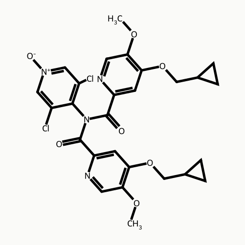 COc1cnc(C(=O)N(C(=O)c2cc(OCC3CC3)c(OC)cn2)c2c(Cl)c[n+]([O-])cc2Cl)cc1OCC1CC1